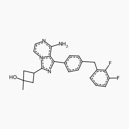 CC1(O)CC(c2nc(-c3ccc(Cc4cccc(F)c4F)cc3)c3c(N)nccn23)C1